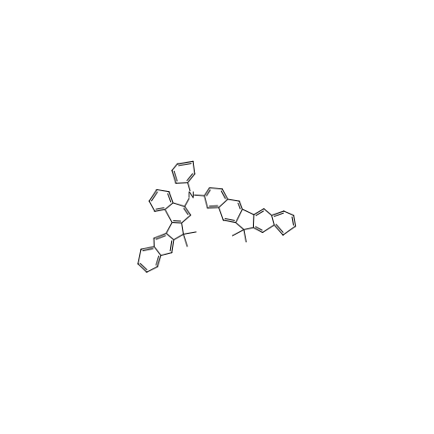 CC1(C)c2cc3ccccc3cc2-c2cc3ccc(N(c4ccccc4)c4cc5c(c6ccccc46)-c4cc6ccccc6cc4C5(C)C)cc3cc21